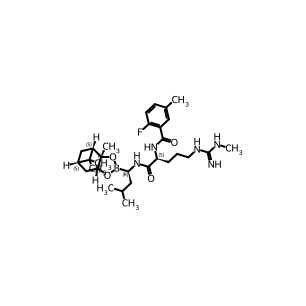 CNC(=N)NCCC[C@H](NC(=O)c1cc(C)ccc1F)C(=O)N[C@@H](CC(C)C)B1O[C@@H]2C[C@@H]3C[C@@H](C3(C)C)[C@]2(C)O1